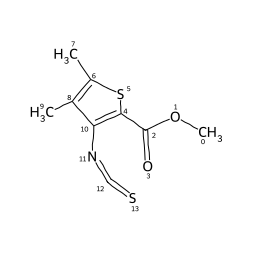 COC(=O)c1sc(C)c(C)c1N=C=S